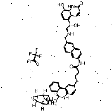 C[N+]1(C)[C@@H]2C[C@@H](OC(=O)Nc3ccc(CCCC(=O)Nc4ccc5cc(CNC[C@H](O)c6ccc(O)c7[nH]c(=O)ccc67)ccc5c4)cc3-c3ccccc3)C[C@H]1[C@@H]1O[C@@H]12.O=C([O-])C(F)(F)F